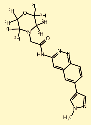 [2H]C1([2H])OC([2H])([2H])C([2H])([2H])N(CC(=O)Nc2cc3cc(-c4cnn(C)c4)ccc3nn2)C1([2H])[2H]